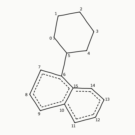 [CH]1CCCCC1c1cccc2ccccc12